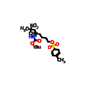 Cc1ccc(S(=O)(=O)OCCCC[C@H](CC(C)(C)[N+](=O)[O-])NC(=O)OC(C)(C)C)cc1